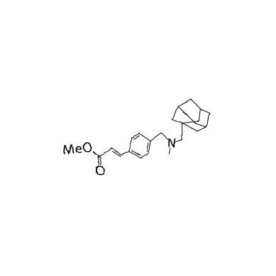 COC(=O)C=Cc1ccc(CN(C)CC23CC4CC(CC(C4)C2)C3)cc1